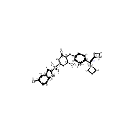 O=C(O)[C@H]1CN(S(=O)(=O)c2cc3cc(Cl)ccc3[nH]2)CC(=O)N1Cc1ccc(/C(=C2\CCN2)N2CCC2)cc1